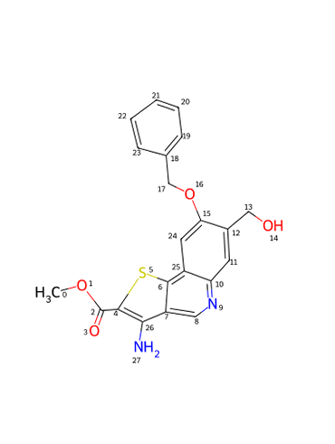 COC(=O)c1sc2c(cnc3cc(CO)c(OCc4ccccc4)cc32)c1N